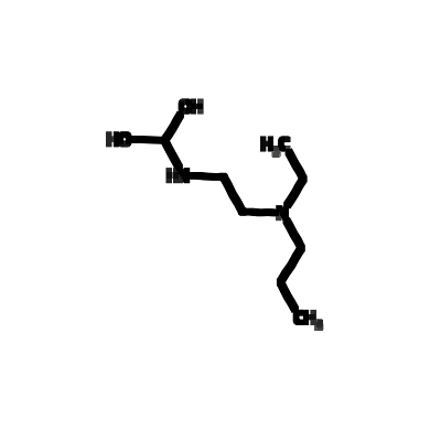 CCCN(CC)CCNC(O)O